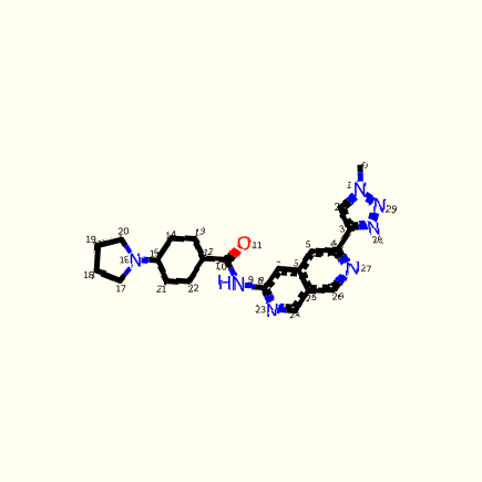 Cn1cc(-c2cc3cc(NC(=O)C4CCC(N5CCCC5)CC4)ncc3cn2)nn1